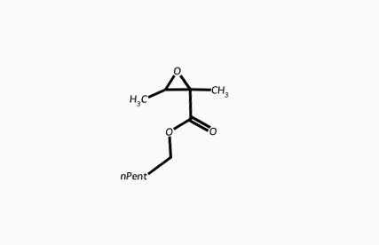 CCCCCCOC(=O)C1(C)OC1C